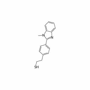 Cn1c(-c2ccc(CCS)cc2)nc2ccccc21